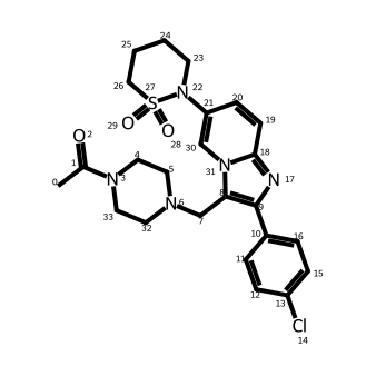 CC(=O)N1CCN(Cc2c(-c3ccc(Cl)cc3)nc3ccc(N4CCCCS4(=O)=O)cn23)CC1